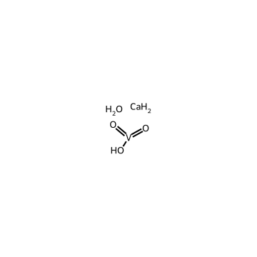 O.[CaH2].[O]=[V](=[O])[OH]